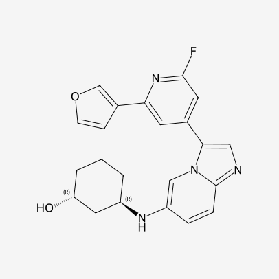 O[C@@H]1CCC[C@@H](Nc2ccc3ncc(-c4cc(F)nc(-c5ccoc5)c4)n3c2)C1